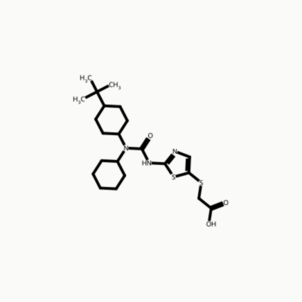 CC(C)(C)C1CCC(N(C(=O)Nc2ncc(SCC(=O)O)s2)C2CCCCC2)CC1